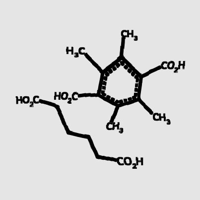 Cc1c(C)c(C(=O)O)c(C)c(C)c1C(=O)O.O=C(O)CCCCC(=O)O